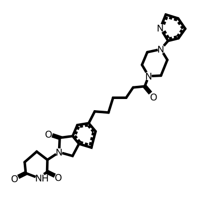 O=C1CCC(N2Cc3ccc(CCCCCC(=O)N4CCN(c5ccccn5)CC4)cc3C2=O)C(=O)N1